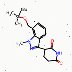 Cn1nc(C2CCC(=O)NC2=O)c2cccc(CO[Si](C)(C)C(C)(C)C)c21